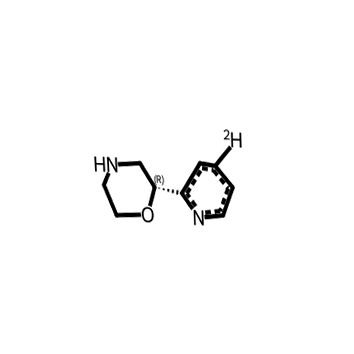 [2H]c1ccnc([C@H]2CNCCO2)c1